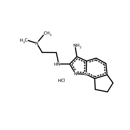 CN(C)CCNc1nn2c3c(ccc2c1N)CCC3.Cl